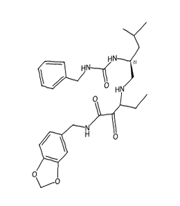 CCC(NC[C@H](CC(C)C)NC(=O)NCc1ccccc1)C(=O)C(=O)NCc1ccc2c(c1)OCO2